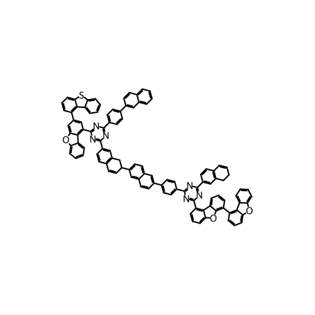 C1=Cc2ccc(-c3nc(-c4ccc(-c5ccc6cc(C7C=Cc8ccc(-c9nc(-c%10ccc(-c%11ccc%12ccccc%12c%11)cc%10)nc(-c%10cc(-c%11cccc%12sc%13ccccc%13c%11%12)cc%11oc%12ccccc%12c%10%11)n9)cc8C7)ccc6c5)cc4)nc(-c4cccc5oc6c(-c7cccc8oc9ccccc9c78)cccc6c45)n3)cc2CC1